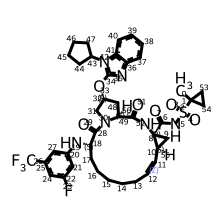 CC1(S(=O)(=O)NC(=O)[C@@]23C[C@H]2/C=C\CCCCC[C@H](Nc2cc(F)cc(C(F)(F)F)c2)C(=O)N2C[C@H](Oc4nc5ccccc5n4C4CCCC4)C[C@H]2C(=O)N3)CC1